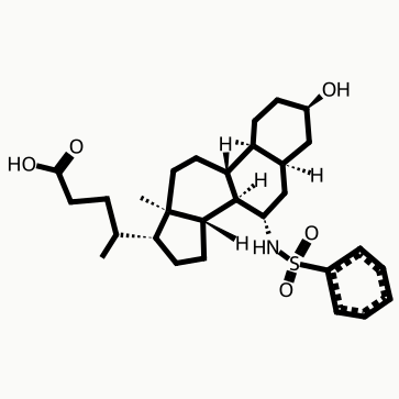 CC(CCC(=O)O)[C@H]1CC[C@H]2[C@@H]3[C@@H](NS(=O)(=O)c4ccccc4)C[C@@H]4C[C@H](O)CC[C@]4(C)[C@H]3CC[C@]12C